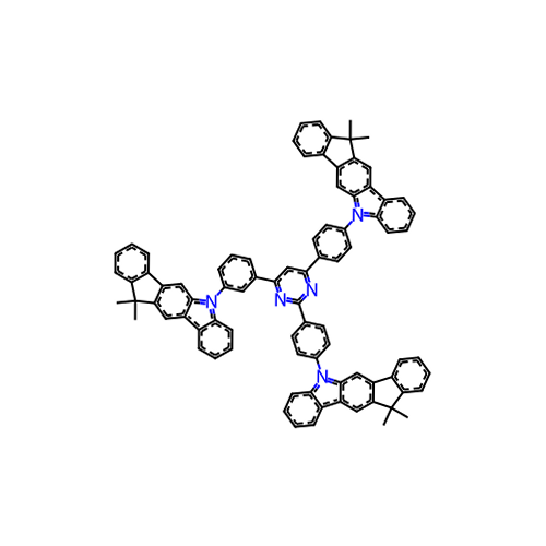 CC1(C)c2ccccc2-c2cc3c(cc21)c1ccccc1n3-c1ccc(-c2cc(-c3cccc(-n4c5ccccc5c5cc6c(cc54)-c4ccccc4C6(C)C)c3)nc(-c3ccc(-n4c5ccccc5c5cc6c(cc54)-c4ccccc4C6(C)C)cc3)n2)cc1